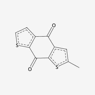 Cc1cc2c(s1)C(=O)c1sccc1C2=O